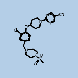 CS(=O)(=O)N1CCN(Cc2ccc(OC3CCN(c4ncc(C#N)cn4)CC3)c(Cl)c2)CC1